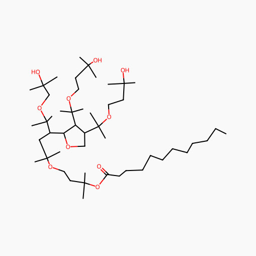 CCCCCCCCCCCC(=O)OC(C)(C)CCOC(C)(C)CC(C1OCC(C(C)(C)OCCC(C)(C)O)C1C(C)(C)OCCC(C)(C)O)C(C)(C)OCC(C)(C)O